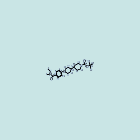 CCN(C)C(=O)c1ccc(N2CCC(C3CCN(C(=O)OC(C)(C)C)CC3)CC2)cc1